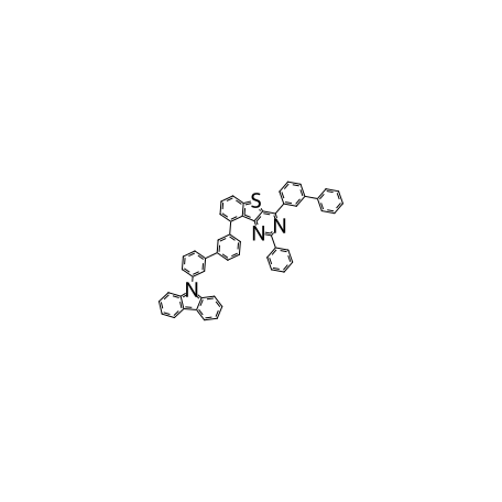 c1ccc(-c2cccc(-c3nc(-c4ccccc4)nc4c3sc3cccc(-c5cccc(-c6cccc(-n7c8ccccc8c8ccccc87)c6)c5)c34)c2)cc1